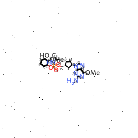 COc1ccccc1OP(=O)(NC(C)C(=O)O)OC[C@@H]1C=C[C@H](n2cnc3c(OC)nc(N)nc32)C1